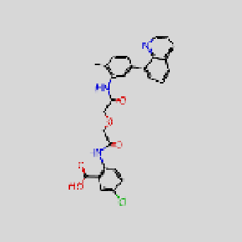 Cc1ccc(-c2cccc3cccnc23)cc1NC(=O)COCC(=O)Nc1ccc(Cl)cc1C(=O)O